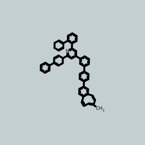 CC1=C\C#Cc2ccc(-c3ccc(-c4cccc(-c5cc(-c6ccccc6C6=CCCC=C6)nc(C6C=CC(c7ccccc7)=CC6)c5)c4)cc3)cc2/C=C\1